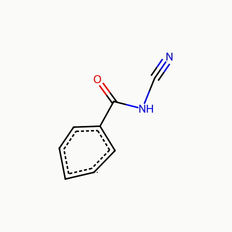 N#CNC(=O)c1c[c]ccc1